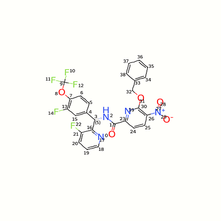 O=C(N[C@@H](c1ccc(OC(F)(F)F)c(F)c1)c1ncccc1F)c1ccc([N+](=O)[O-])c(OCc2ccccc2)n1